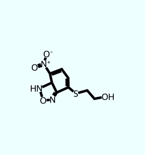 O=[N+]([O-])C1=CC=C(SCCO)C2=NONC12